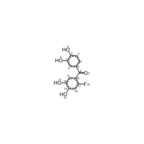 O=C(c1ccc(O)c(O)c1)c1cc(O)c(O)cc1F